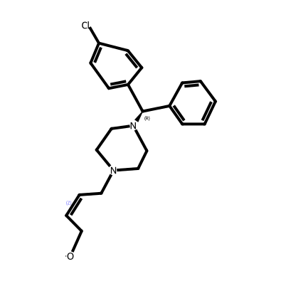 [O]C/C=C\CN1CCN([C@H](c2ccccc2)c2ccc(Cl)cc2)CC1